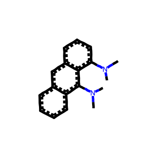 CN(C)c1cccc2cc3ccccc3c(N(C)C)c12